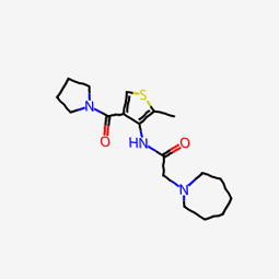 Cc1scc(C(=O)N2CCCC2)c1NC(=O)CN1CCCCCC1